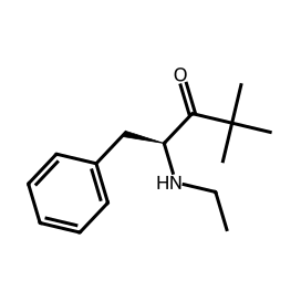 CCN[C@@H](Cc1ccccc1)C(=O)C(C)(C)C